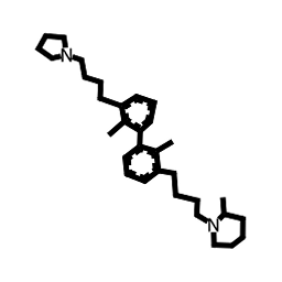 Cc1c(CCCCN2CCCC2)cccc1-c1cccc(CCCCN2CCCCC2C)c1C